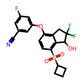 N#Cc1cc(F)cc(Oc2ccc(S(=O)(=O)C3CCC3)c3c2CC(F)(F)C3O)c1